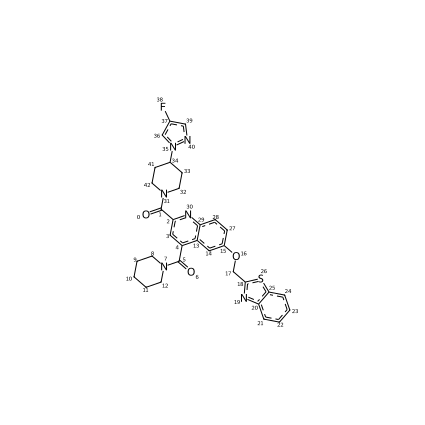 O=C(c1cc(C(=O)N2CCCCC2)c2cc(OCc3nc4ccccc4s3)ccc2n1)N1CCC(n2cc(F)cn2)CC1